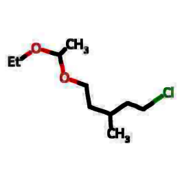 CCOC(C)OCCC(C)CCCl